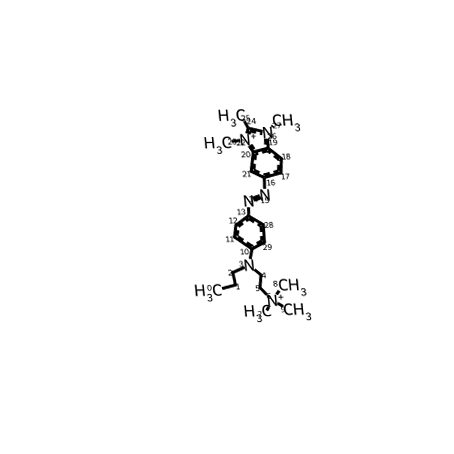 CCCN(CC[N+](C)(C)C)c1ccc(N=Nc2ccc3c(c2)[n+](C)c(C)n3C)cc1